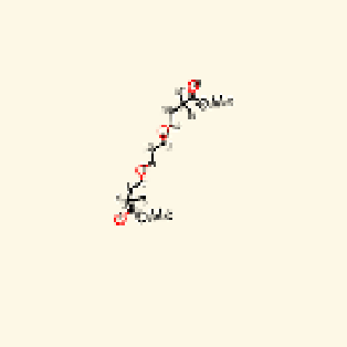 COC(=O)C(C)(C)CCOCCCOCCC(C)(C)C(=O)OC